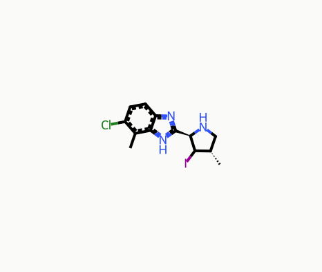 Cc1c(Cl)ccc2nc([C@H]3NC[C@H](C)C3I)[nH]c12